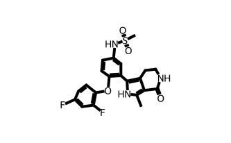 Cc1[nH]c(-c2cc(NS(C)(=O)=O)ccc2Oc2ccc(F)cc2F)c2c1C(=O)NCC2